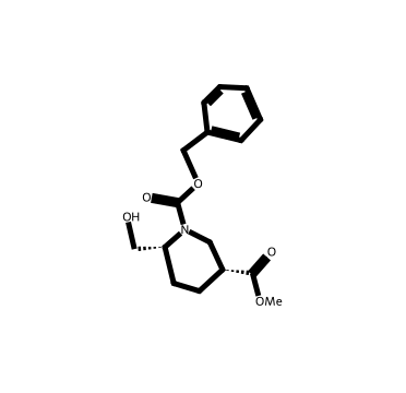 COC(=O)[C@@H]1CC[C@H](CO)N(C(=O)OCc2ccccc2)C1